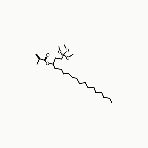 C=C(C)C(=O)OC(CCCCCCCCCCCCCCC)CC[Si](OC)(OC)OC